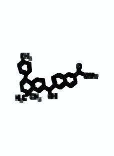 COC(=O)c1ccc2cc(C(O)c3ccc4c(c3)C(C)(C)CC=C4c3ccc(C)cc3)ccc2c1